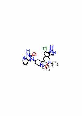 O=C1C(C2CC(n3c(=O)[nH]c4ncccc43)CCN2C(=O)O)Cc2cc(Cl)c3[nH]ncc3c2CN1CC(F)(F)F